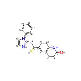 O=C1CCc2cc(C(=S)Cc3nccn3-c3ccccc3)ccc2N1